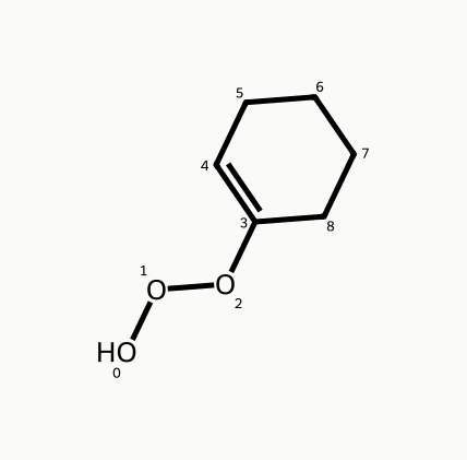 OOOC1=CCCCC1